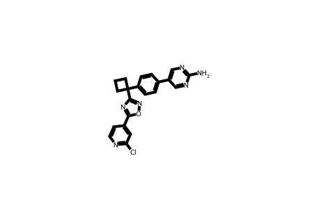 Nc1ncc(-c2ccc(C3(c4noc(-c5ccnc(Cl)c5)n4)CCC3)cc2)cn1